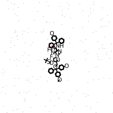 COc1ccc(C(Nc2nc(F)nc3c2ncn3[C@@H]2O[C](COC(c3ccccc3)(c3ccc(OC)cc3)c3ccc(OC)cc3)[C@@H](O[Si](C)(C)C(C)(C)C)[C@@H]2F)(c2ccccc2)c2ccccc2)cc1